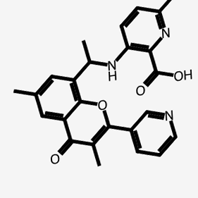 Cc1cc(C(C)Nc2ccc(C)nc2C(=O)O)c2oc(-c3cccnc3)c(C)c(=O)c2c1